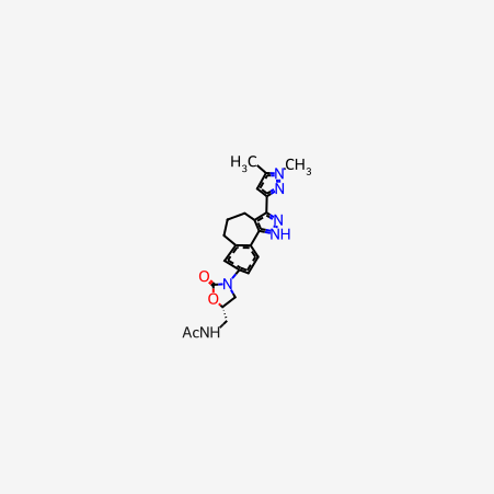 CC(=O)NC[C@H]1CN(c2ccc3c(c2)CCCc2c(-c4cc(C)n(C)n4)n[nH]c2-3)C(=O)O1